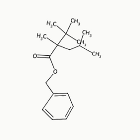 CC(C)CC(C)(C(=O)OCc1ccccc1)C(C)(C)C